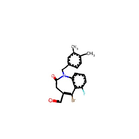 Cc1ccc(CN2C(=O)CC(C=O)=C(Br)c3c(F)cccc32)cc1C